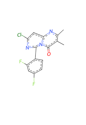 Cc1nc2cc(Cl)nc(-c3ccc(F)cc3F)n2c(=O)c1C